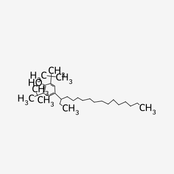 CCCCCCCCCCCCCCC(CC)c1cc(C(C)(C)C)c(O)c(C(C)(C)C)c1